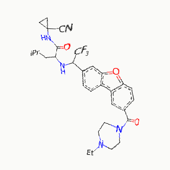 CCN1CCN(C(=O)c2ccc3oc4cc(C(NC(CC(C)C)C(=O)NC5(C#N)CC5)C(F)(F)F)ccc4c3c2)CC1